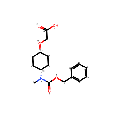 CN(C(=O)OCc1ccccc1)[C@H]1CC[C@H](OCC(=O)O)CC1